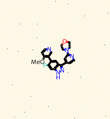 COc1ccncc1-c1cc2c(-c3ccnc(N4CCOCC4)c3)n[nH]c2cc1F